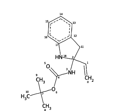 C=CC1(NC(=O)OC(C)(C)C)Cc2ccccc2N1